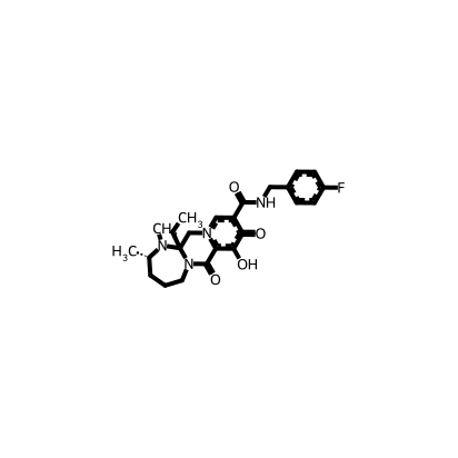 CCC12Cn3cc(C(=O)NCc4ccc(F)cc4)c(=O)c(O)c3C(=O)N1CCC[C@H](C)N2C